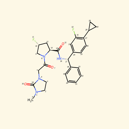 CN1CCN(CC(=O)N2C[C@H](F)C[C@H]2C(=O)N[C@@H](c2ccccc2)c2ccc(C3CC3)c(F)c2)C1=O